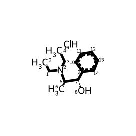 CCN(CC)[C@H](C)[C@@H](O)c1ccccc1.Cl